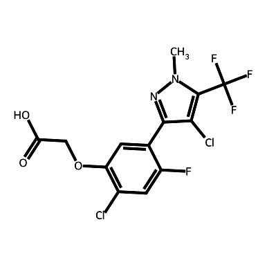 Cn1nc(-c2cc(OCC(=O)O)c(Cl)cc2F)c(Cl)c1C(F)(F)F